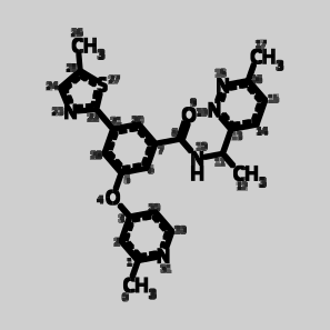 Cc1cc(Oc2cc(C(=O)NC(C)c3ccc(C)nn3)cc(-c3ncc(C)s3)c2)ccn1